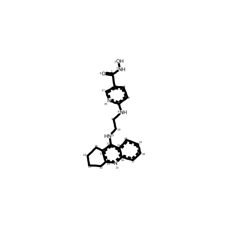 O=C(NO)c1ccc(NCCNc2c3c(nc4ccccc24)CCCC3)nc1